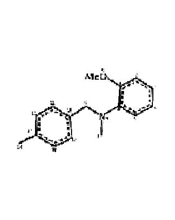 COc1ccccc1N(C)Cc1ccc(C)cc1